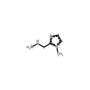 Cn1ccnc1CNN